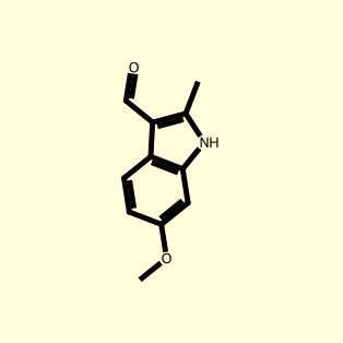 COc1ccc2c(C=O)c(C)[nH]c2c1